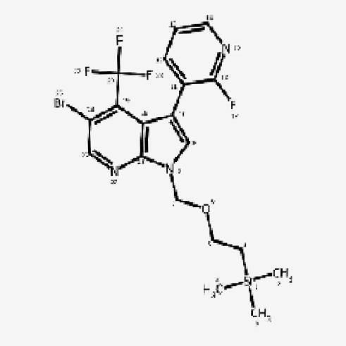 C[Si](C)(C)CCOCn1cc(-c2cccnc2F)c2c(C(F)(F)F)c(Br)cnc21